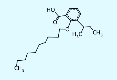 CCCCCCCCCCOc1c(C(=O)O)cccc1C(C)CC